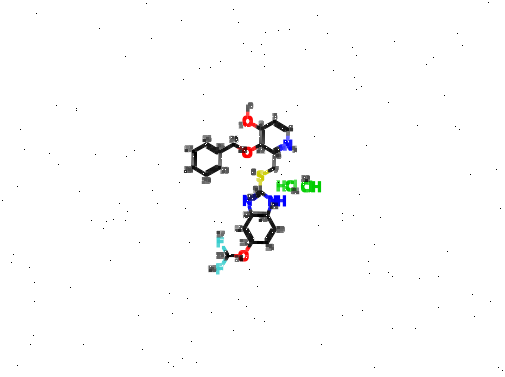 COc1ccnc(CSc2nc3cc(OC(F)F)ccc3[nH]2)c1OCc1ccccc1.Cl.Cl